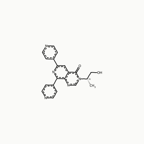 C[C@@H](CO)n1cnc2c(-c3ccncc3)nc(-c3ccncc3)cc2c1=O